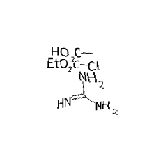 CC(=O)O.CCOC(=O)Cl.N=C(N)N